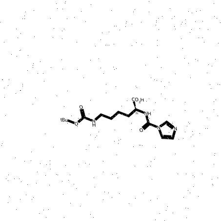 CC(C)(C)OC(=O)NCCCC[C@H](NC(=O)n1ccnc1)C(=O)O